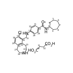 O=C(NC1CCCCCC1)c1ccc(NCc2c(Cl)ccc3c2CCNCC3)cc1.O=C(O)CCC(=O)O